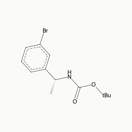 C[C@@H](NC(=O)OC(C)(C)C)c1cccc(Br)c1